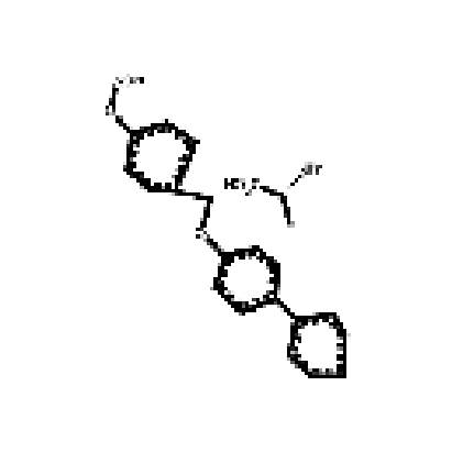 CC(C)[C@H](F)C(=O)O.CCCCCCCCOc1ccc(COc2ccc(-c3ccccc3)cc2)cc1